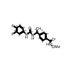 CONC(=O)c1ccc(C(C)NC(=O)Nc2ccc(F)c(F)c2)cc1